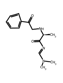 C[C@H](NCC(=O)c1ccccc1)C(=O)/N=C/N(C)C